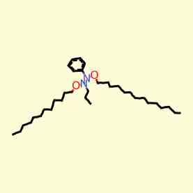 CCCCCCCCCCCCCCON(c1ccccc1)N(CCC)OCCCCCCCCCCCC